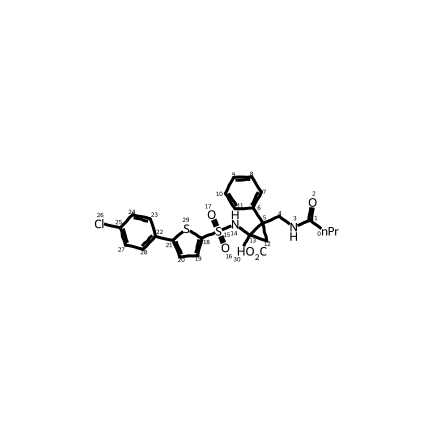 CCCC(=O)NCC1(c2ccccc2)CC1(NS(=O)(=O)c1ccc(-c2ccc(Cl)cc2)s1)C(=O)O